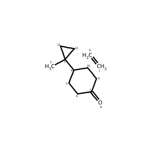 C=C.CC1(C2CCC(=O)CC2)CC1